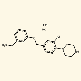 Cl.Cl.NCc1cccc(OCc2cnc(N3CCNCC3)c(Cl)c2)c1